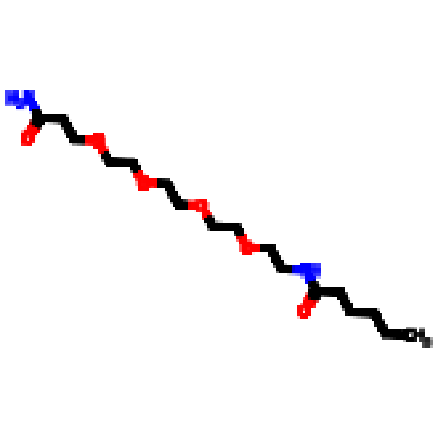 CCCCCC(=O)NCCOCCOCCOCCOCCC(N)=O